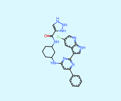 O=C(NC1CCCC(Nc2cc(-c3ccccc3)nc(-c3c[nH]c4ncc(F)cc34)n2)C1)C1=CNNN1